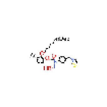 Br.CCCCCCCCCCCCCCCCOc1c(OCC(=O)Nc2ccc(CN3C=CSC3)cc2)cccc1C(C)=O